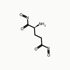 N[C@@H](CCC(=O)N=O)C(=O)N=O